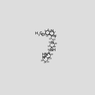 COc1ccc2ncc(F)c(CCN3CCC(NCC4=CC=C5CCCN=C5N4)CC3)c2c1